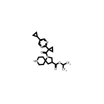 O=C(OC(C(F)(F)F)C(F)(F)F)C1CN(C(=O)C2(c3ncc(C4CC4)cn3)CC2)C2(CCNCC2)C1